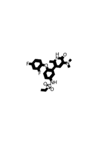 CCS(=O)(=O)Nc1ccc(Oc2ccc(F)cc2F)c(-c2cc(N(C)C)c(=O)[nH]c2C)c1